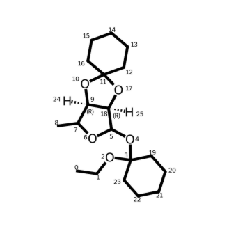 CCOC1(OC2OC(C)[C@H]3OC4(CCCCC4)O[C@@H]23)CCCCC1